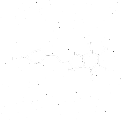 CCn1c(=O)c2[nH]c(/C=C/c3ccc(O)cc3)nc2n(CC)c1=O